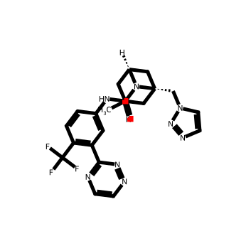 C[C@H]1C[C@H]2C[C@@](Cn3ccnn3)(C1)N2C(=O)Nc1ccc(C(F)(F)F)c(-c2nccnn2)c1